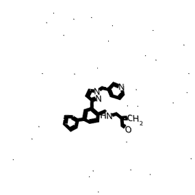 C=C(C=O)CNCc1ccc(-c2ccccc2)cc1-c1ccn(Cc2cccnc2)n1